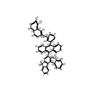 CC1(C)c2ccccc2-c2c1cc(-c1c3ccccc3c(-c3cccc(-c4ccc5ccccc5c4)c3)c3ccccc13)c1oc3ccccc3c21